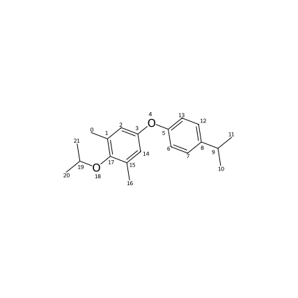 Cc1cc(Oc2ccc(C(C)C)cc2)cc(C)c1OC(C)C